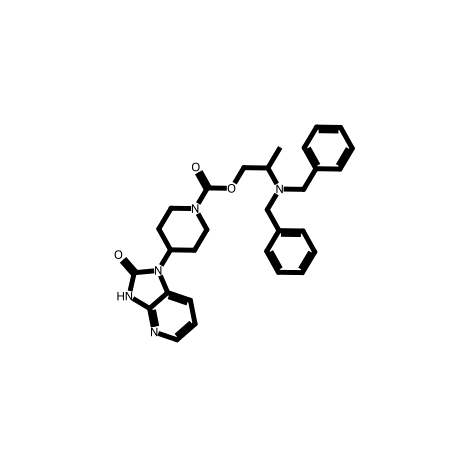 CC(COC(=O)N1CCC(n2c(=O)[nH]c3ncccc32)CC1)N(Cc1ccccc1)Cc1ccccc1